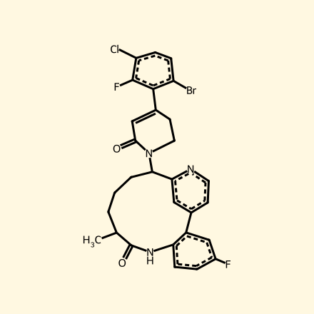 CC1CCCC(N2CCC(c3c(Br)ccc(Cl)c3F)=CC2=O)c2cc(ccn2)-c2cc(F)ccc2NC1=O